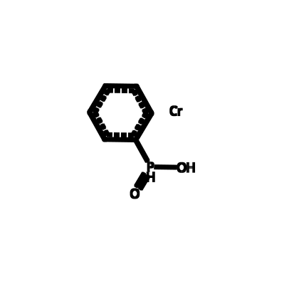 O=[PH](O)c1ccccc1.[Cr]